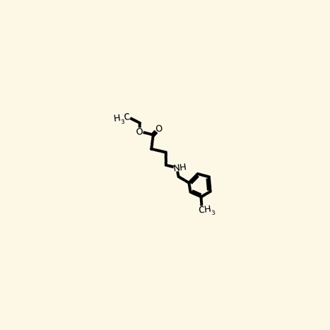 CCOC(=O)CCCNCc1cccc(C)c1